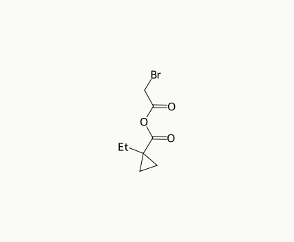 CCC1(C(=O)OC(=O)CBr)CC1